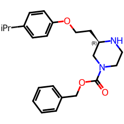 CC(C)c1ccc(OCC[C@@H]2CN(C(=O)OCc3ccccc3)CCN2)cc1